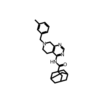 Cc1cccc(CN2CCc3c(ncnc3NC(=O)C34CC5CC(CC(C5)C3)C4)C2)c1